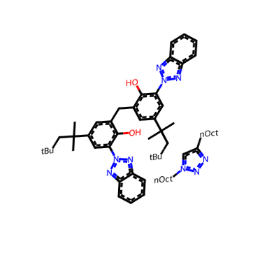 CC(C)(C)CC(C)(C)c1cc(Cc2cc(C(C)(C)CC(C)(C)C)cc(-n3nc4ccccc4n3)c2O)c(O)c(-n2nc3ccccc3n2)c1.CCCCCCCCc1cn(CCCCCCCC)nn1